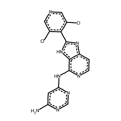 Nc1cc(Nc2nccc3nc(-c4c(Cl)cncc4Cl)[nH]c23)ncn1